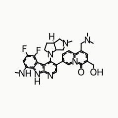 CNc1cc(F)c(F)c2c1[nH]c1ncc(-c3ccc4c(CN(C)C)cc(CO)c(=O)n4c3)c(N3CC[C@H]4CN(C)CC43)c12